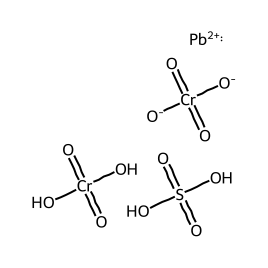 O=S(=O)(O)O.[O]=[Cr](=[O])([O-])[O-].[O]=[Cr](=[O])([OH])[OH].[Pb+2]